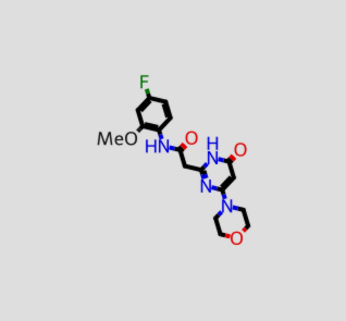 COc1cc(F)ccc1NC(=O)Cc1nc(N2CCOCC2)cc(=O)[nH]1